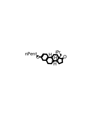 CCCCCOC1=CCC2=C(CC[C@@H]3[C@@H]2CC[C@]2(CC(C)C)C(=O)CC[C@@H]32)C1